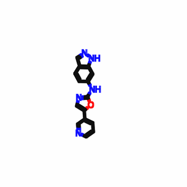 c1cncc(-c2cnc(Nc3ccc4cn[nH]c4c3)o2)c1